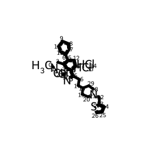 CN(C)Cc1c(-c2ccccc2)ccc2c(CCC3CCN(Cc4cccs4)CC3)noc12.Cl.Cl